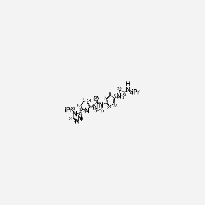 CC(C)NC1CN(c2ccc(N3CCN(c4cccc(-c5nncn5C(C)C)n4)C3=O)cc2)C1